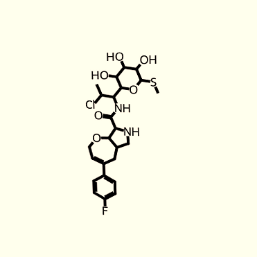 CSC1OC(C(NC(=O)C2NCC3CC(c4ccc(F)cc4)=CCOC32)C(C)Cl)C(O)C(O)C1O